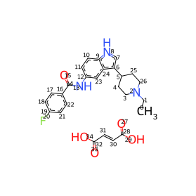 CCN1CCC(c2c[nH]c3ccc(NC(=O)c4ccc(F)cc4)cc23)CC1.O=C(O)/C=C/C(=O)O